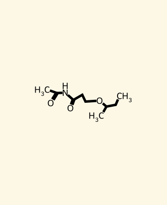 CCC(C)OCCC(=O)NC(C)=O